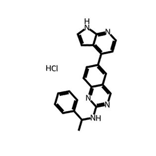 CC(Nc1ncc2cc(-c3ccnc4[nH]ccc34)ccc2n1)c1ccccc1.Cl